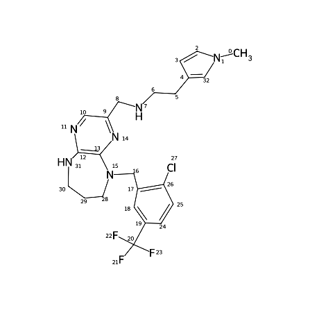 Cn1ccc(CCNCc2cnc3c(n2)N(Cc2cc(C(F)(F)F)ccc2Cl)CCCN3)c1